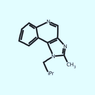 Cc1nc2cnc3ccccc3c2n1CC(C)C